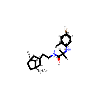 CC(=O)N[C@]12CC[C@@H](CC(CCNC(=O)C(C)(C)Nc3ccc(Br)cc3C)C1)C2